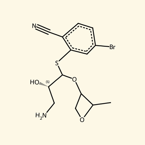 CC1OCC1OC(Sc1cc(Br)ccc1C#N)[C@@H](O)CN